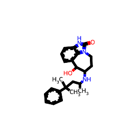 CC(CC(C)(C)c1ccccc1)NC1CCn2c(=O)[nH]c3cccc(c32)C1O